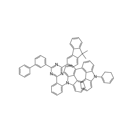 CC1(C)c2ccccc2-c2cc(-c3nc(-c4cccc(-c5ccccc5)c4)nc(-c4ccccc4-n4c5ccccc5c5c(-c6cccc7c6c6ccccc6n7C6=CC=CCC6)cccc54)n3)ccc21